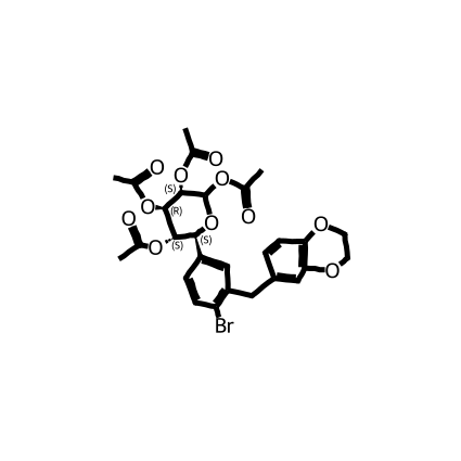 CC(=O)OC1O[C@@H](c2ccc(Br)c(Cc3ccc4c(c3)OCCO4)c2)[C@H](OC(C)=O)[C@@H](OC(C)=O)[C@@H]1OC(C)=O